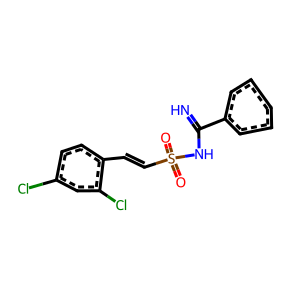 N=C(NS(=O)(=O)/C=C/c1ccc(Cl)cc1Cl)c1ccccc1